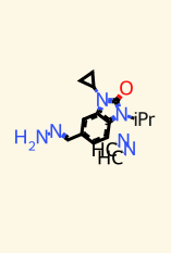 C#N.C#N.CC(C)n1c(=O)n(C2CC2)c2cc(C=NN)ccc21